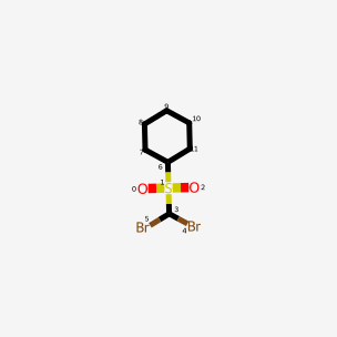 O=S(=O)(C(Br)Br)C1CCCCC1